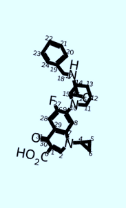 O=C(O)c1cn(C2CC2)c2cc(N3CC4CCC3C(NCc3ccccc3)C4)c(F)cc2c1=O